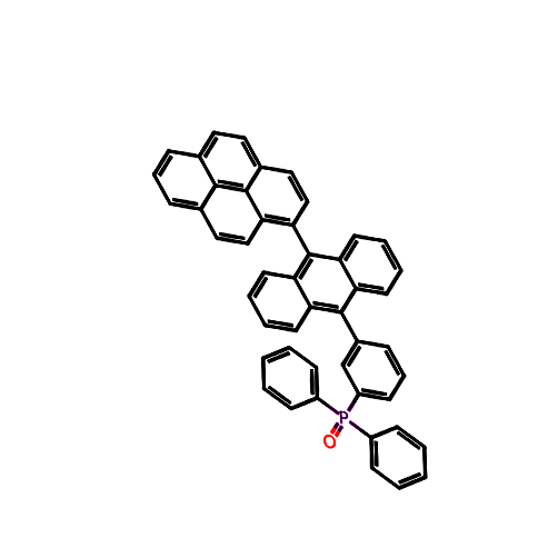 O=P(c1ccccc1)(c1ccccc1)c1cccc(-c2c3ccccc3c(-c3ccc4ccc5cccc6ccc3c4c56)c3ccccc23)c1